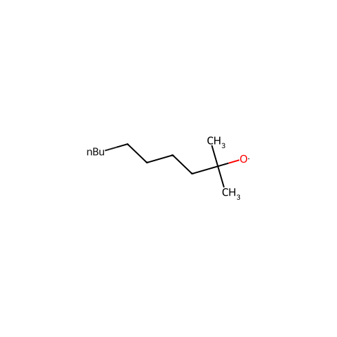 CCCCCCCCC(C)(C)[O]